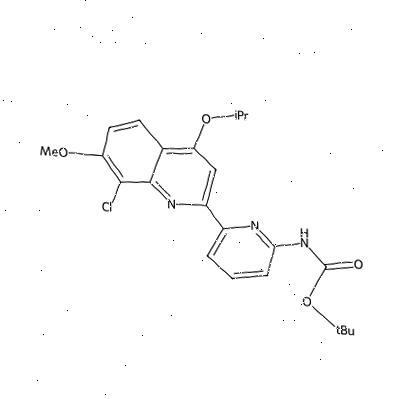 COc1ccc2c(OC(C)C)cc(-c3cccc(NC(=O)OC(C)(C)C)n3)nc2c1Cl